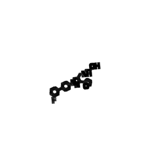 OCCNCc1cn(-c2ccc(-c3cccc(F)c3)cc2)nc1-c1ccco1